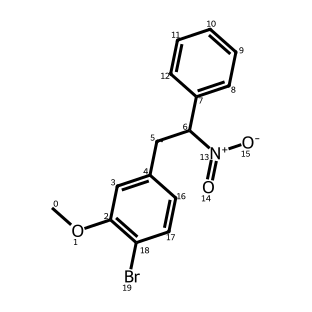 COc1cc([CH]C(c2ccccc2)[N+](=O)[O-])ccc1Br